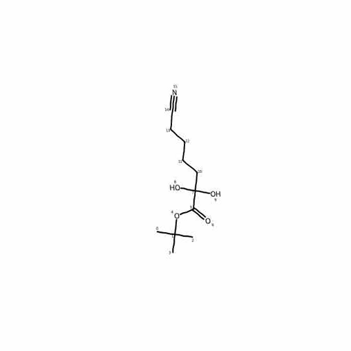 CC(C)(C)OC(=O)C(O)(O)CCCCC#N